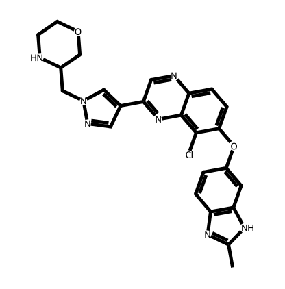 Cc1nc2ccc(Oc3ccc4ncc(-c5cnn(CC6COCCN6)c5)nc4c3Cl)cc2[nH]1